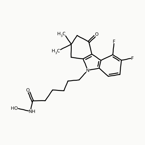 CC1(C)CC(=O)c2c(n(CCCCCC(=O)NO)c3ccc(F)c(F)c23)C1